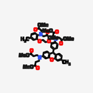 COC(=O)CCN(CCC(=O)OC)c1ccc2c(c1)Oc1cc(C)ccc1C2c1ccc(N(CC(=O)OC)CC(=O)OC)c(OCCOc2cc(C)ccc2N(CC(=O)OC)CC(=O)OC)c1